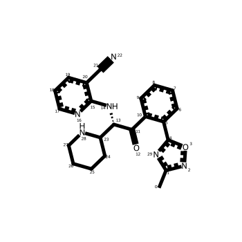 Cc1noc(-c2ccccc2C(=O)[C@@H](Nc2ncccc2C#N)C2CCCCN2)n1